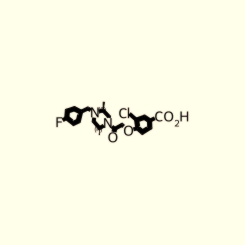 C[C@@H]1CN(Cc2ccc(F)cc2)[C@@H](C)CN1C(=O)COc1ccc(C(=O)O)cc1Cl